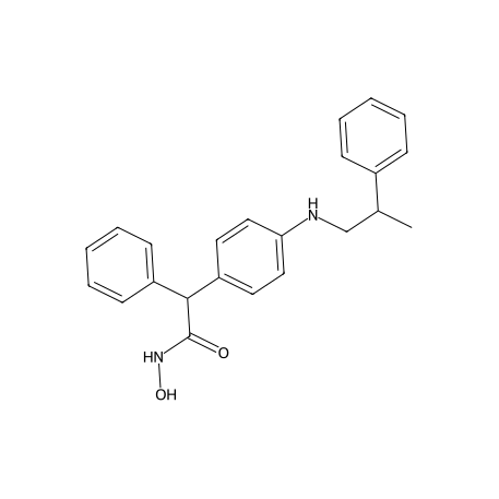 CC(CNc1ccc(C(C(=O)NO)c2ccccc2)cc1)c1ccccc1